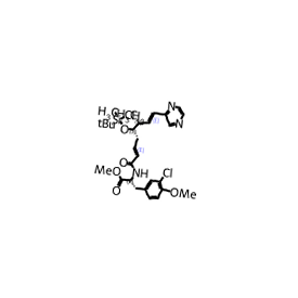 COC(=O)[C@@H](Cc1ccc(OC)c(Cl)c1)NC(=O)/C=C/C[C@H](O[Si](C)(C)C(C)(C)C)[C@H](C)/C=C/c1cnccn1